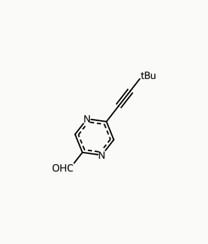 CC(C)(C)C#Cc1cnc(C=O)cn1